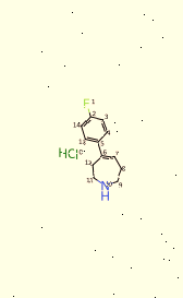 Cl.Fc1ccc(C2=CCCNCC2)cc1